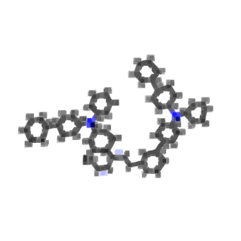 CC/C=C\C(=C/Cc1cccc(-c2ccc(N(c3ccccc3)c3ccc(-c4ccccc4)cc3)cc2)c1)c1ccc(N(c2ccccc2)c2ccc(-c3ccccc3)cc2)cc1